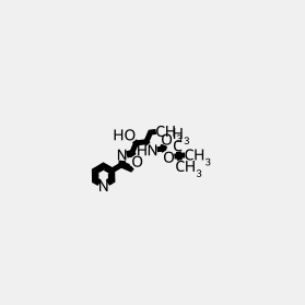 CCC(NC(=O)OC(C)(C)C)C(O)c1nc(-c2cccnc2)co1